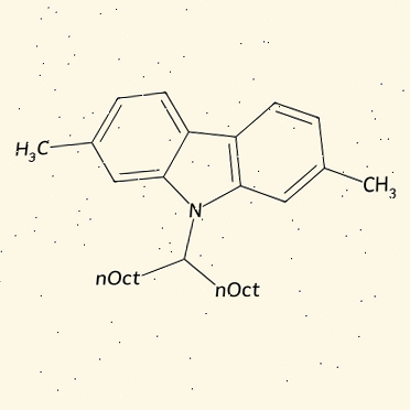 CCCCCCCCC(CCCCCCCC)n1c2cc(C)ccc2c2ccc(C)cc21